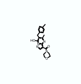 Cc1ccc(Cc2c(C)nc3c(C(=O)N4CCOCC4)cnn3c2O)cc1